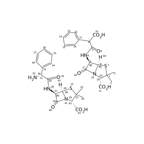 CC1(C)S[C@@H]2[C@H](NC(=O)C(C(=O)O)c3ccccc3)C(=O)N2[C@H]1C(=O)O.CC1(C)S[C@@H]2[C@H](NC(=O)[C@H](N)c3ccccc3)C(=O)N2[C@H]1C(=O)O